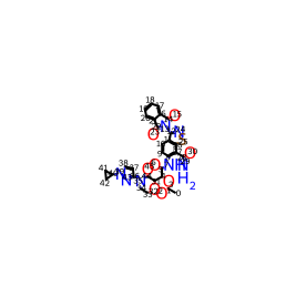 CC(=O)OC(C(=O)Nc1ccc2c(N3C(=O)c4ccccc4C3=O)nsc2c1C(N)=O)C1OCCN(c2ccn(C3CC3)n2)C1=O